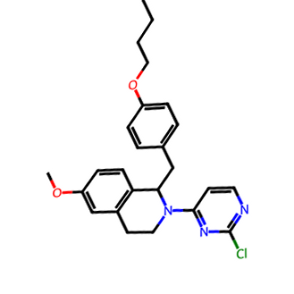 CCCCOc1ccc(CC2c3ccc(OC)cc3CCN2c2ccnc(Cl)n2)cc1